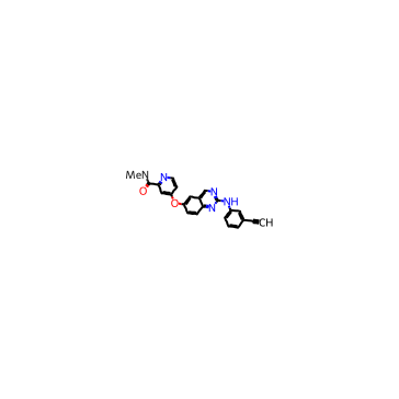 C#Cc1cccc(Nc2ncc3cc(Oc4ccnc(C(=O)NC)c4)ccc3n2)c1